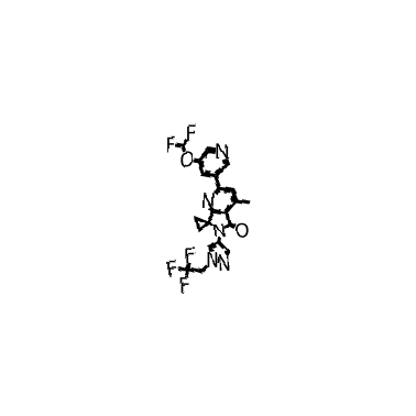 Cc1cc(-c2cncc(OC(F)F)c2)nc2c1C(=O)N(c1cnn(CC(F)(F)F)c1)C21CC1